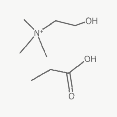 CCC(=O)O.C[N+](C)(C)CCO